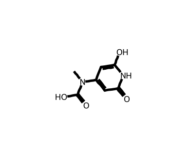 CN(C(=O)O)c1cc(O)[nH]c(=O)c1